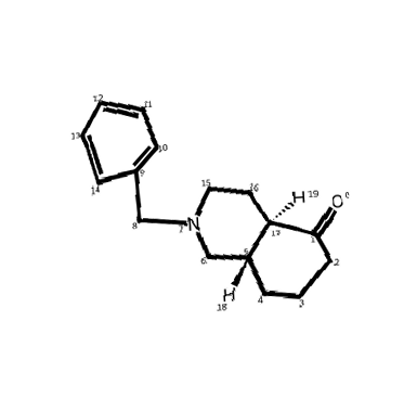 O=C1CCC[C@@H]2CN(Cc3ccccc3)CC[C@@H]12